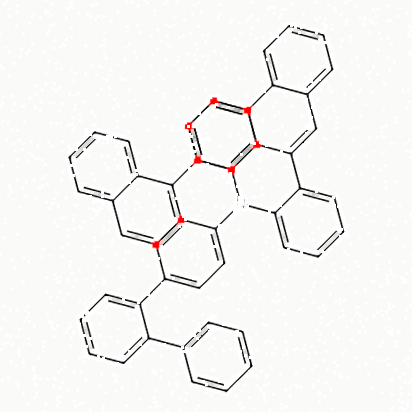 c1ccc(-c2ccccc2-c2ccc(N(c3ccccc3-c3cccc4ccccc34)c3ccccc3-c3cc4ccccc4c4ccccc34)cc2)cc1